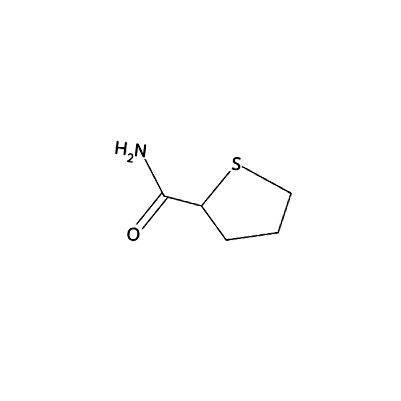 NC(=O)C1CCCS1